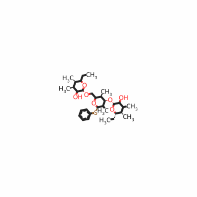 CCC1O[C@H](OCC2O[C@H](Sc3ccccc3)C(C)[C@@H](O[C@H]3O[C@@H](CC)[C@@H](C)C(C)C3O)[C@@H]2C)C(O)[C@@H](C)[C@@H]1C